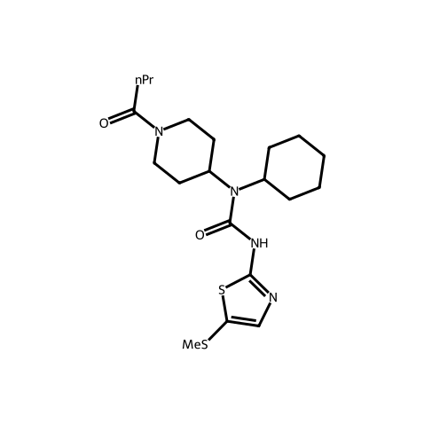 CCCC(=O)N1CCC(N(C(=O)Nc2ncc(SC)s2)C2CCCCC2)CC1